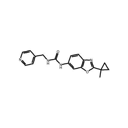 CC1(c2nc3ccc(NC(=O)NCc4ccncc4)cc3o2)CC1